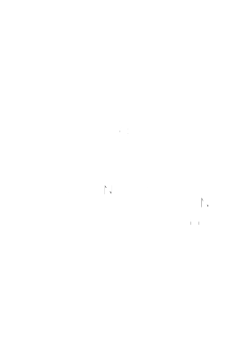 O=C1C=C(c2cnoc2)CN(Cc2ccccc2)C1